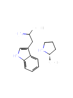 NC(Cc1c[nH]c2ccccc12)C(=O)O.O=C(O)[C@@H]1CCCN1